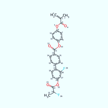 C=C(C)C(=O)Oc1ccc(OC(=O)c2ccc(-c3ccc(OC(=O)C(C)F)cc3F)cc2)cc1